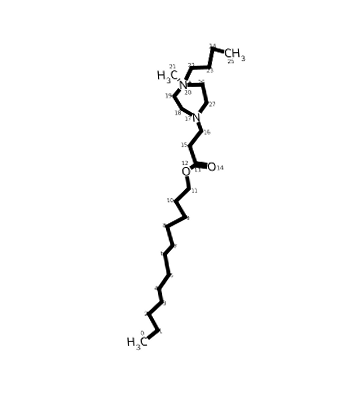 CCCCCCCCCCCCOC(=O)CCN1CC[N+](C)(CCCC)CC1